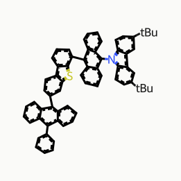 CC(C)(C)c1ccc2c(c1)c1cc(C(C)(C)C)ccc1n2-c1c2ccccc2c(-c2cccc3c2sc2cc(-c4c5ccccc5c(-c5ccccc5)c5ccccc45)ccc23)c2ccccc12